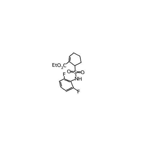 CCOC(=O)C1=CCCCC1S(=O)(=O)Nc1c(F)cccc1F